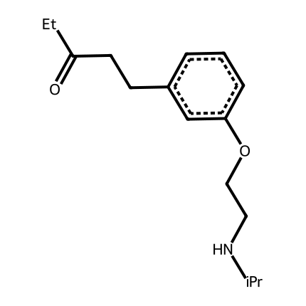 CCC(=O)CCc1cccc(OCCNC(C)C)c1